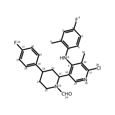 Cc1cc(F)ccc1Nc1c(C2CC(c3ccc(F)cc3)CCN2C=O)cnc(Cl)c1C